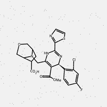 COC(=O)C1=C(CN2C3COCC2C(C(=O)O)C3)NC(c2nccs2)=N[C@H]1c1ccc(F)cc1Cl